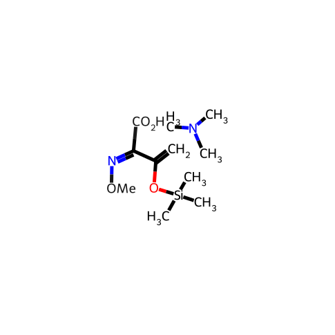 C=C(O[Si](C)(C)C)C(=NOC)C(=O)O.CN(C)C